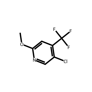 COc1cc(C(F)(F)F)c(Cl)cn1